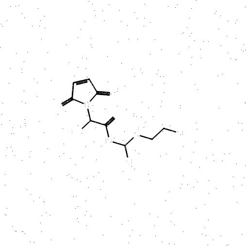 CC(NCCN)NC(=O)C(C)N1C(=O)C=CC1=O